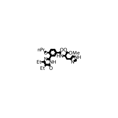 CCCOc1ccc(C(=O)NC(Cc2c[nH]cn2)C(=O)OC)cc1-c1nc(CC)c(CC)c(=O)[nH]1